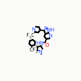 CN1C[C@H](NC(=O)c2cnc3[nH]nc(-c4ccnc(C(F)(F)F)c4)c3c2)[C@@H](c2ccccc2C(F)(F)F)C1